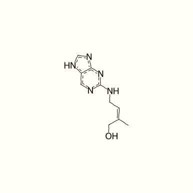 CC(=CCNc1ncc2[nH]cnc2n1)CO